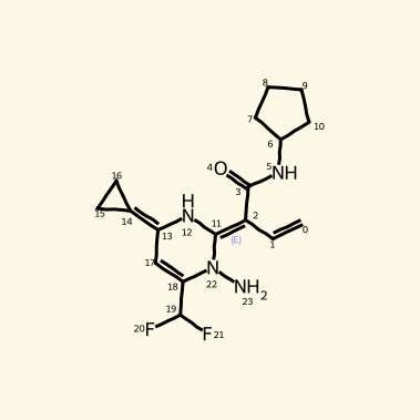 C=C/C(C(=O)NC1CCCC1)=C1/NC(=C2CC2)C=C(C(F)F)N1N